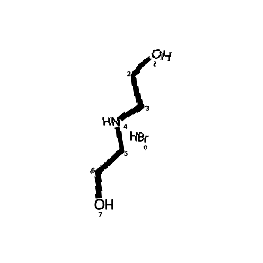 Br.OCCNCCO